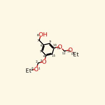 CCOCOc1cc(CO)cc(OCOCC)c1